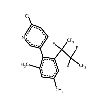 Cc1[c]c(C)c(-c2ccc(Cl)nc2)c(C(F)(C(F)(F)F)C(F)(F)C(F)(F)F)c1